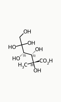 C[C@](O)(C(=O)O)[C@@H](O)[C@H](O)C(O)(O)CO